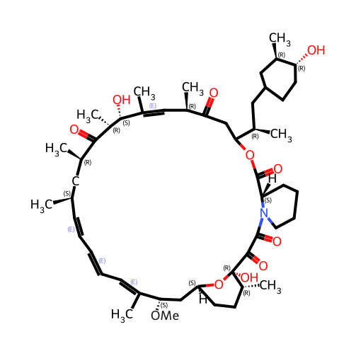 CO[C@H]1C[C@@H]2CC[C@@H](C)[C@@](O)(O2)C(=O)C(=O)N2CCCC[C@H]2C(=O)OC([C@H](C)CC2CC[C@@H](O)[C@H](C)C2)CC(=O)[C@H](C)/C=C(\C)[C@@H](O)[C@@H](C)C(=O)[C@H](C)C[C@H](C)/C=C/C=C/C=C/1C